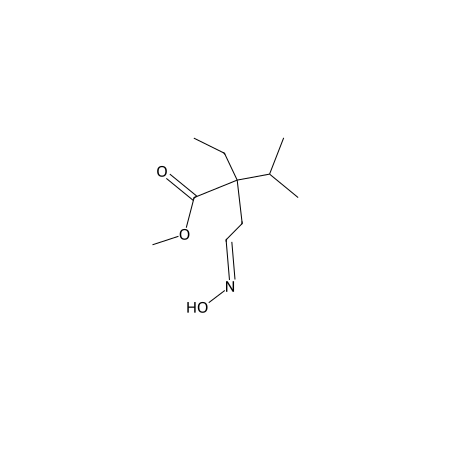 CCC(CC=NO)(C(=O)OC)C(C)C